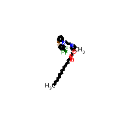 CCCCCCCCCCCCCCCC(=O)OCCOC1(C)CCN(CCCN2c3ccccc3Sc3ccc(C(F)(F)F)cc32)CC1